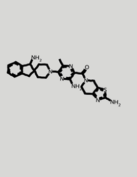 Cc1nc(C(=O)N2CCc3nc(N)sc3C2)c(N)nc1N1CCC2(CC1)Cc1ccccc1C2N